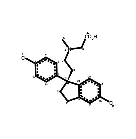 CN(CC[C@]1(c2ccc(Cl)cc2)CCc2cc(Cl)ccc21)CC(=O)O